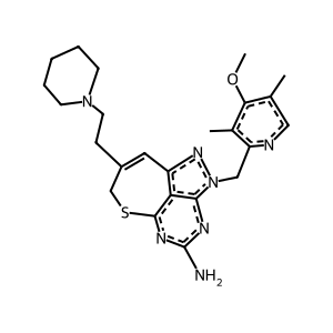 COc1c(C)cnc(Cn2nc3c4c(nc(N)nc42)SCC(CCN2CCCCC2)=C3)c1C